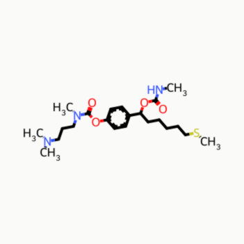 CNC(=O)OC(CCCCCSC)c1ccc(OC(=O)N(C)CCCN(C)C)cc1